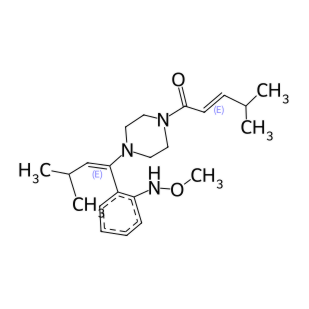 CONc1ccccc1/C(=C\C(C)C)N1CCN(C(=O)/C=C/C(C)C)CC1